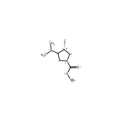 CN(C)C1CN(C(=O)OC(C)(C)C)C[C@H]1F